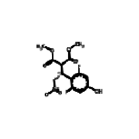 COC(=O)C(C(=O)OC)[C@@H](C[N+](=O)[O-])c1c(F)cc(O)cc1F